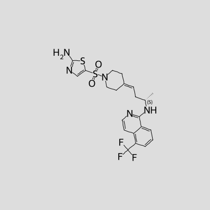 C[C@@H](CC=C1CCN(S(=O)(=O)c2cnc(N)s2)CC1)Nc1nccc2c(C(F)(F)F)cccc12